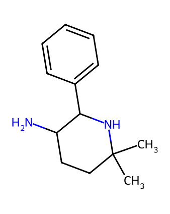 CC1(C)CCC(N)C(c2ccccc2)N1